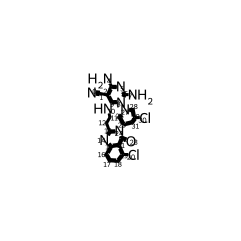 N#Cc1c(N)nc(N)nc1NCCc1nc2cccc(Cl)c2c(=O)n1-c1cncc(Cl)c1